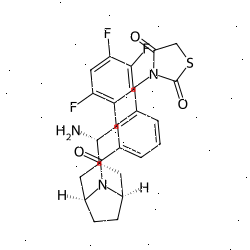 N[C@H](Cc1cc(F)c(F)cc1F)[C@@H]1C[C@H]2CC[C@@H](C1)N2C(=O)c1cccc(CN2C(=O)CSC2=O)c1